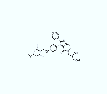 CC(C)c1cc(F)c(COc2ccc(-c3c(-c4ccncc4)nn4c3C(=O)N(CC(O)CO)CC4)cc2)c(F)c1